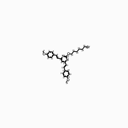 COc1ccc(C=Cc2cc(C=Cc3ccc(OC)cc3)nc(OCCCCCCBr)n2)cc1